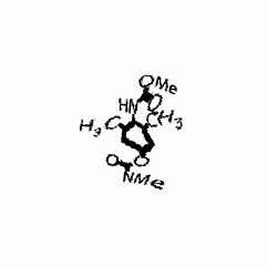 CNC(=O)Oc1cc(C)c(NC(=O)OC)c(C)c1